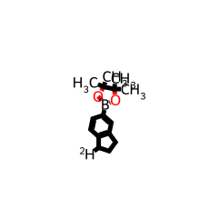 [2H]C1CCc2cc(B3OC(C)(C)C(C)(C)O3)ccc21